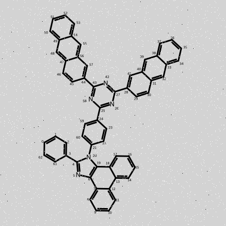 c1ccc(-c2nc3c4ccccc4c4ccccc4c3n2-c2ccc(-c3nc(-c4ccc5cc6ccccc6cc5c4)nc(-c4ccc5cc6ccccc6cc5c4)n3)cc2)cc1